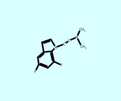 CN(C)CCn1ccc2cc(F)cc(F)c21